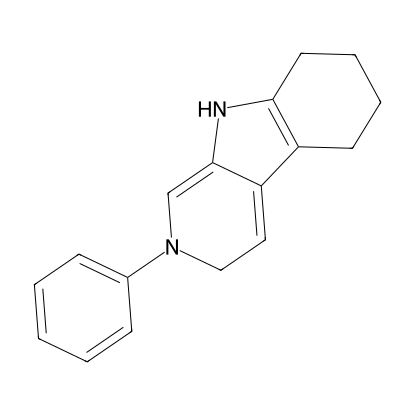 C1=c2[nH]c3c(c2=CCN1c1ccccc1)CCCC3